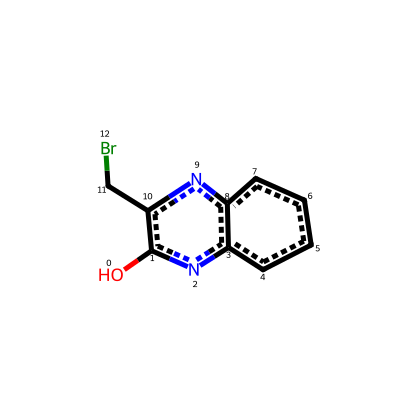 Oc1nc2ccccc2nc1CBr